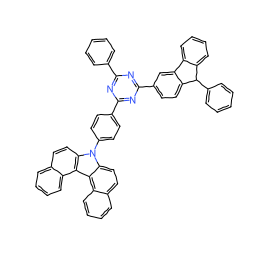 c1ccc(-c2nc(-c3ccc(-n4c5ccc6ccccc6c5c5c6ccccc6ccc54)cc3)nc(-c3ccc4c(c3)-c3ccccc3C4c3ccccc3)n2)cc1